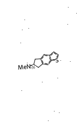 CN[C@H]1Cc2cc3ccsc3cc2C1